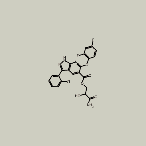 NC(=O)C(O)COC(=O)c1cc2c(-c3ccccc3Cl)n[nH]c2nc1Oc1ccc(F)cc1F